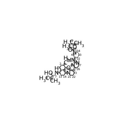 Cc1ccc2c(NCC(O)C(C)C)cccc2c1Oc1ncccc1-c1ccnc(NC2CCCN(C(=O)OC(C)(C)C)C2)n1